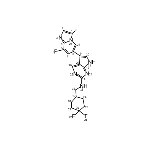 Cc1cnc2c(F)cc(-c3c[nH]c4nc(NCC5CCC(F)(F)CC5)ncc34)cn12